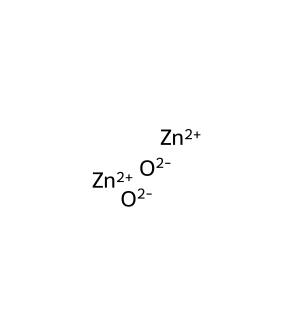 [O-2].[O-2].[Zn+2].[Zn+2]